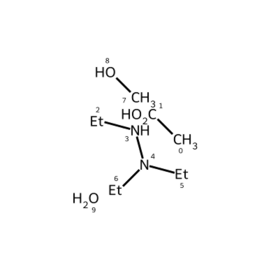 CC(=O)O.CCNN(CC)CC.CO.O